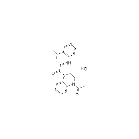 CC(=O)N1CCN(C(=O)C(=N)CC(C)c2cccnc2)c2ccccc21.Cl